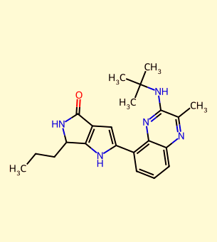 CCCC1NC(=O)c2cc(-c3cccc4nc(C)c(NC(C)(C)C)nc34)[nH]c21